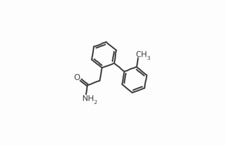 Cc1ccccc1-c1ccccc1CC(N)=O